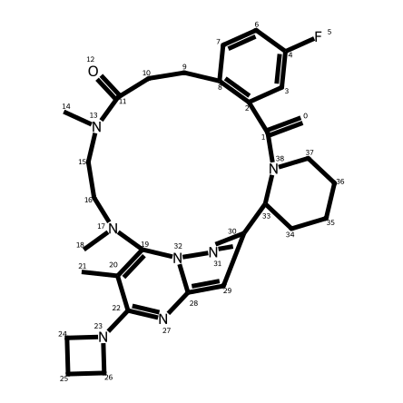 C=C1c2cc(F)ccc2CCC(=O)N(C)CCN(C)c2c(C)c(N3CCC3)nc3cc(nn23)C2CCCCN12